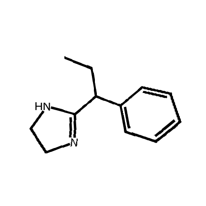 CCC(C1=NCCN1)c1ccccc1